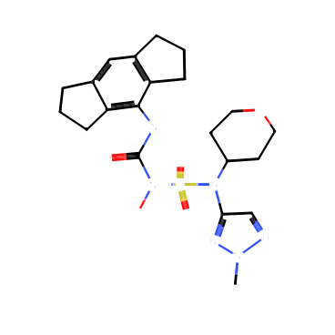 Cn1ncc(N(C2CCOCC2)S(=O)(=O)[NH+]([O-])C(=O)Nc2c3c(cc4c2CCC4)CCC3)n1